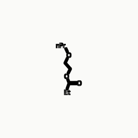 [CH2]CCOCCOC(=O)CC